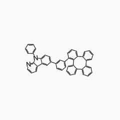 c1ccc(-n2c3ccc(-c4cccc(-c5cccc6c5-c5ccccc5-c5ccccc5-c5ccccc5-6)c4)cc3c3cccnc32)cc1